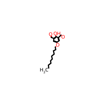 C=CCCCCCCCCCOc1cc(C=O)c(O)c(C=O)c1